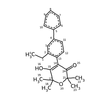 CCc1cc(-c2ccccc2)ccc1C1=C(O)C(C)(C)OC(C)(C)C1=O